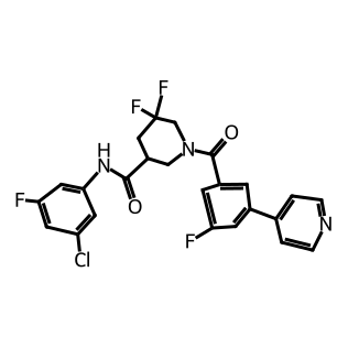 O=C(Nc1cc(F)cc(Cl)c1)C1CN(C(=O)c2cc(F)cc(-c3ccncc3)c2)CC(F)(F)C1